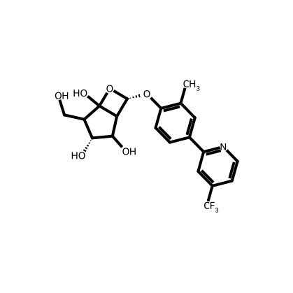 Cc1cc(-c2cc(C(F)(F)F)ccn2)ccc1O[C@H]1OC2(O)C1C(O)[C@H](O)C2CO